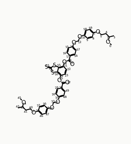 COC(C)CCOc1ccc(OCOc2ccc(C(=O)Oc3ccc(OC(=O)c4ccc(OCOc5ccc(OCCC(C)OC)cc5)cc4)c4sc(=S)sc34)cc2)cc1